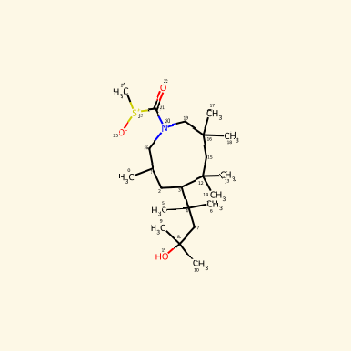 CC1CC(C(C)(C)CC(C)(C)O)C(C)(C)CC(C)(C)CN(C(=O)[S+](C)[O-])C1